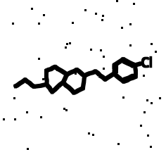 CCCC1CCC2CC(CCc3ccc(Cl)cc3)CCC2C1